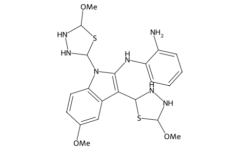 COc1ccc2c(c1)c(C1NNC(OC)S1)c(Nc1ccccc1N)n2C1NNC(OC)S1